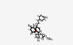 CC(C)(C)OC(=O)N[C@@]1(c2ncc(OCCC3CCNCC3)cn2)CNC[C@@H]1c1cc(F)c(F)cc1F